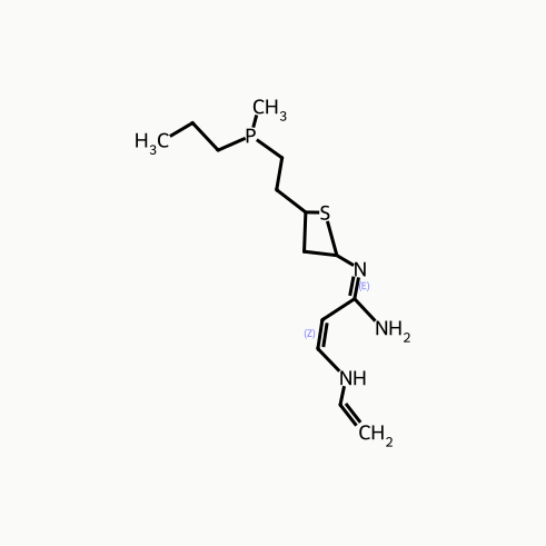 C=CN/C=C\C(N)=N/C1CC(CCP(C)CCC)S1